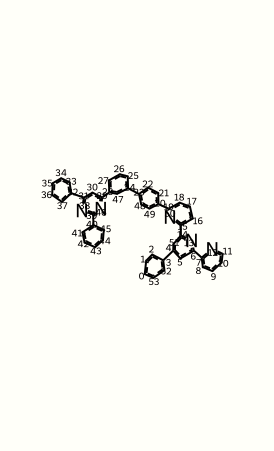 c1ccc(-c2cc(-c3ccccn3)nc(-c3cccc(-c4ccc(-c5cccc(-c6cc(-c7ccccc7)nc(-c7ccccc7)n6)c5)cc4)n3)c2)cc1